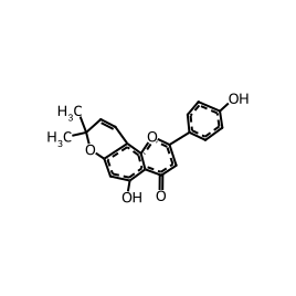 CC1(C)C=Cc2c(cc(O)c3c(=O)cc(-c4ccc(O)cc4)oc23)O1